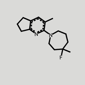 Cc1cc2c(nc1N1CCCC(C)(F)CC1)CCC2